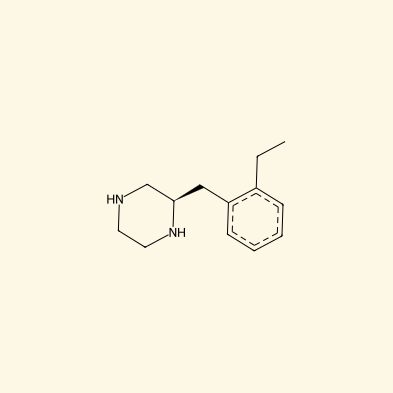 CCc1ccccc1C[C@@H]1CNCCN1